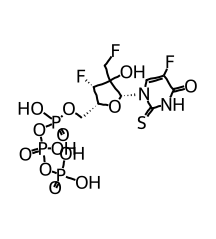 O=c1[nH]c(=S)n([C@@H]2O[C@H](COP(=O)(O)OP(=O)(O)OP(=O)(O)O)[C@H](F)C2(O)CF)cc1F